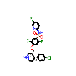 O=S(=O)(Nc1ccc(F)cn1)c1cc(F)c(OC[C@H]2CNCC[C@@H]2c2ccc(Cl)cc2)cc1F